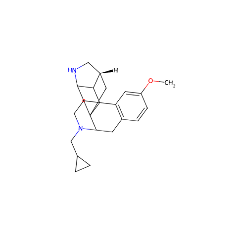 COc1ccc2c(c1)C13CCN(CC4CC4)C(C2)C12CCC1NC[C@H](C2)C13